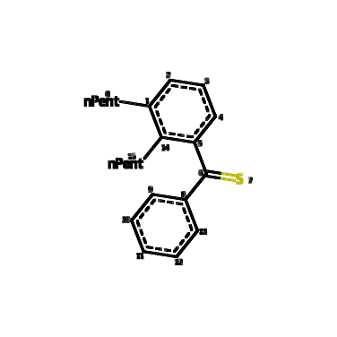 CCCCCc1cccc(C(=S)c2ccccc2)c1CCCCC